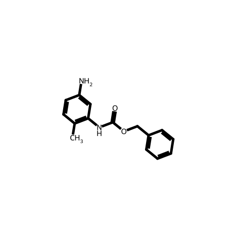 Cc1ccc(N)cc1NC(=O)OCc1ccccc1